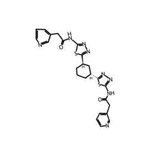 O=C(Cc1cccnc1)Nc1nnc([C@@H]2CCC[C@@H](c3nnc(NC(=O)Cc4cccnc4)s3)C2)s1